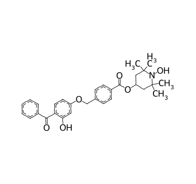 CC1(C)CC(OC(=O)c2ccc(COc3ccc(C(=O)c4ccccc4)c(O)c3)cc2)CC(C)(C)N1O